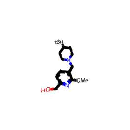 COc1nc(CO)ccc1CN1CCC(C(C)(C)C)CC1